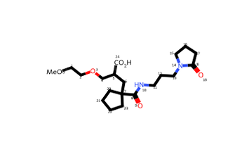 COCCOCC(CC1(C(=O)NCCCN2CCCC2=O)CCCC1)C(=O)O